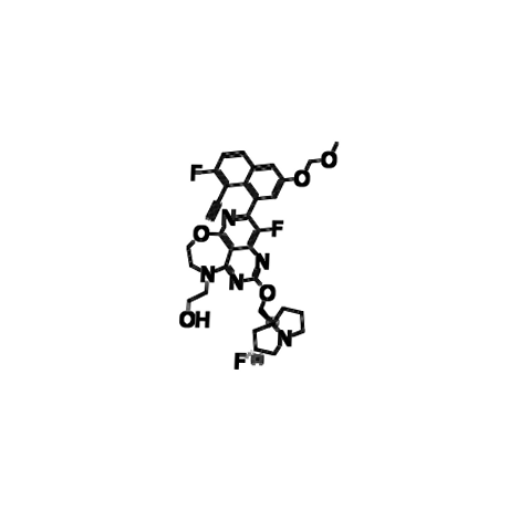 C#Cc1c(F)ccc2cc(OCOC)cc(-c3nc4c5c(nc(OC[C@@]67CCCN6C[C@H](F)C7)nc5c3F)N(CCO)CCO4)c12